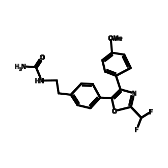 COc1ccc(-c2nc(C(F)F)oc2-c2ccc(CCNC(N)=O)cc2)cc1